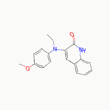 CCN(c1ccc(OC)cc1)c1cc2ccccc2[nH]c1=O